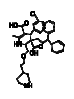 CC1=C(C(=O)O)C(c2cccc(Cl)c2)C(CCC(c2ccccc2)c2ccccc2)(C(=O)O)C(COCCC2CCNCC2)N1